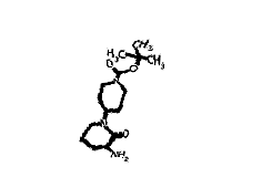 CC(C)(C)OC(=O)N1CCC(N2CCCC(N)C2=O)CC1